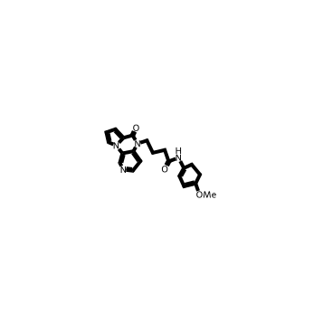 COC1=CC=C(NC(=O)CCCn2c(=O)c3cccn3c3cnccc32)CC1